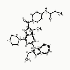 CCC(=O)NC1CCN(C(=O)c2nc3c(N4CCOCC4)nc(-n4c(CC)nc5ccccc54)nc3n2C)CC1